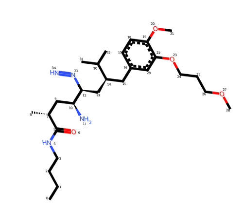 CCCCNC(=O)[C@H](C)C[C@H](N)[C@H](C[C@H](Cc1ccc(OC)c(OCCCOC)c1)C(C)C)N=N